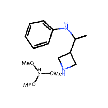 CC(Nc1ccccc1)C1CNC1.CO[SiH](OC)OC